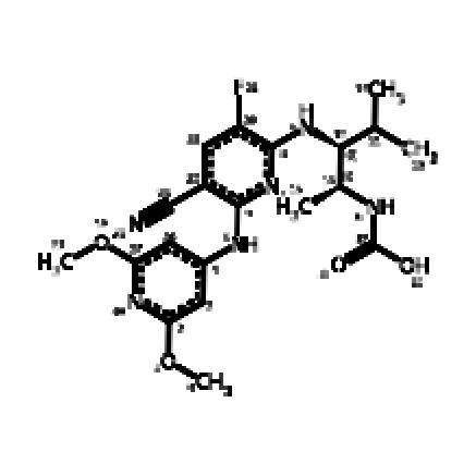 COc1cc(Nc2nc(N[C@@H](C(C)C)[C@H](C)NC(=O)O)c(F)cc2C#N)cc(OC)n1